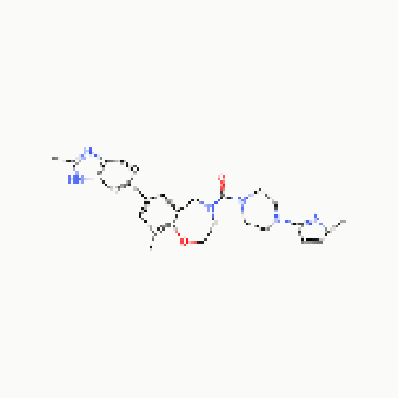 Cc1nc2ccc(-c3cc(C)c4c(c3)CN(C(=O)N3CCN(C5=NC(C)C=C5)CC3)CCO4)cc2[nH]1